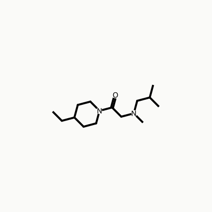 CCC1CCN(C(=O)CN(C)CC(C)C)CC1